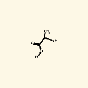 CCCC(C)C(=O)OC(C)C